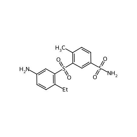 CCc1ccc(N)cc1S(=O)(=O)c1cc(S(N)(=O)=O)ccc1C